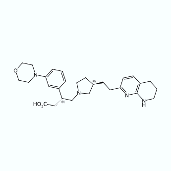 O=C(O)C[C@@H](CN1CC[C@@H](CCc2ccc3c(n2)NCCC3)C1)c1cccc(N2CCOCC2)c1